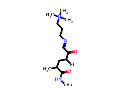 CCCCNC(=O)C(C)CC(CC)C(=O)/C=N/CCC[N+](C)(C)C